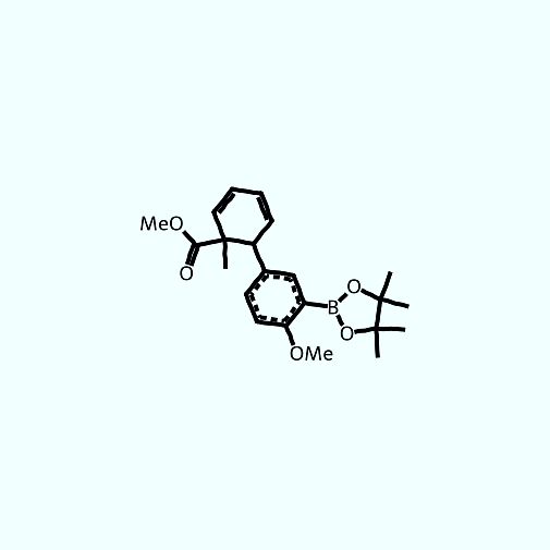 COC(=O)C1(C)C=CC=CC1c1ccc(OC)c(B2OC(C)(C)C(C)(C)O2)c1